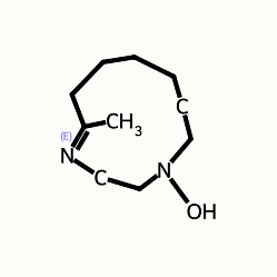 C/C1=N\CCN(O)CCCCCC1